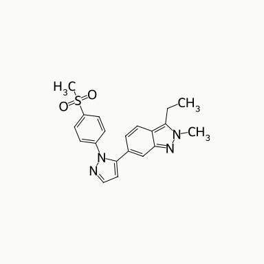 CCc1c2ccc(-c3ccnn3-c3ccc(S(C)(=O)=O)cc3)cc2nn1C